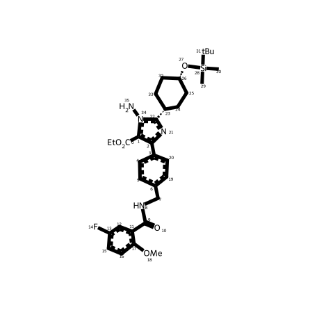 CCOC(=O)c1c(-c2ccc(CNC(=O)c3cc(F)ccc3OC)cc2)nc([C@H]2CC[C@@H](O[Si](C)(C)C(C)(C)C)CC2)n1N